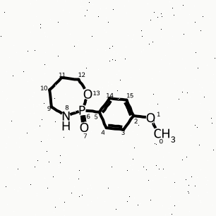 COc1ccc(P2(=O)NCCCCO2)cc1